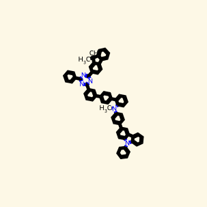 CN(c1ccc(-c2ccc3c(c2)c2ccccc2n3C2=CC=CCC2)cc1)c1ccccc1-c1ccc(-c2cccc(-c3nc(-c4ccccc4)nc(-c4ccc5c(c4)C(C)(C)c4ccccc4-5)n3)c2)cc1